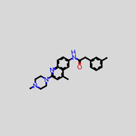 Cc1cccc(CC(=O)Nc2ccc3nc(N4CCN(C)CC4)cc(C)c3c2)c1